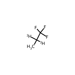 [2H]C([2H])(C)C(F)(F)F